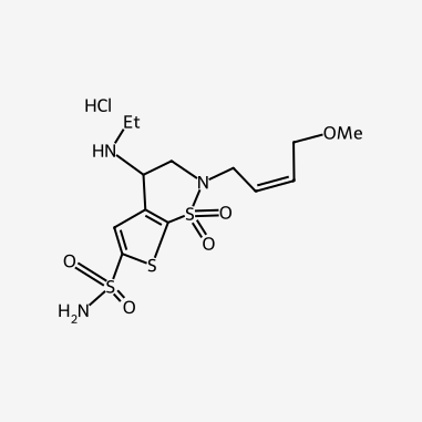 CCNC1CN(C/C=C\COC)S(=O)(=O)c2sc(S(N)(=O)=O)cc21.Cl